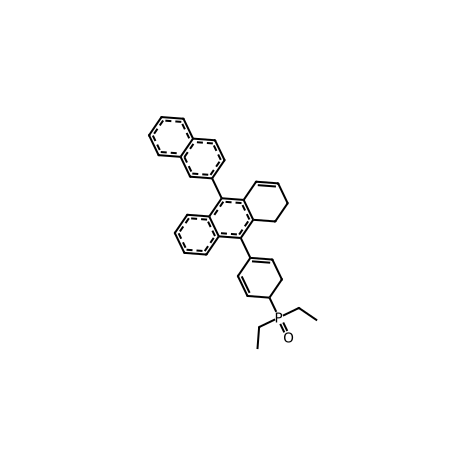 CCP(=O)(CC)C1C=CC(c2c3c(c(-c4ccc5ccccc5c4)c4ccccc24)C=CCC3)=CC1